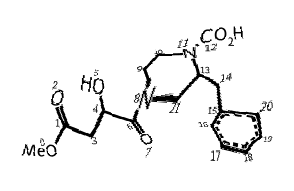 COC(=O)CC(O)C(=O)N1CCN(C(=O)O)C(Cc2ccccc2)C1